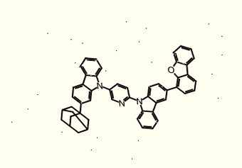 c1ccc2c(c1)oc1c(-c3ccc4c(c3)c3ccccc3n4-c3ccc(-n4c5ccccc5c5ccc(C67CC8CC(CC(C8)C6)C7)cc54)cn3)cccc12